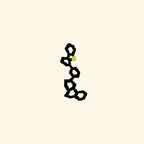 c1cc(-c2ccc3ccc4ccccc4c3c2)cc(-c2cccc3c2sc2ccccc23)c1